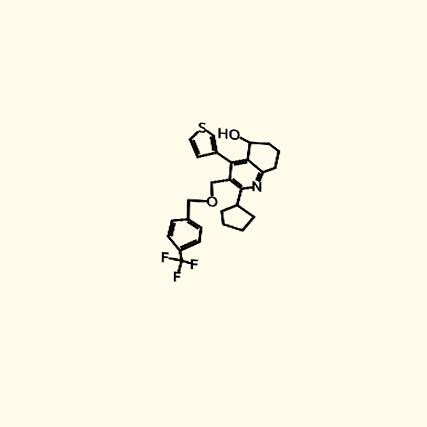 OC1CCCc2nc(C3CCCC3)c(COCc3ccc(C(F)(F)F)cc3)c(-c3ccsc3)c21